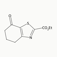 CCOC(=O)c1nc2c(s1)C(=O)CCC2